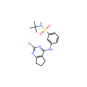 CC(C)(C)NS(=O)(=O)c1cccc(Nc2nc(Cl)nc3c2CCC3)c1